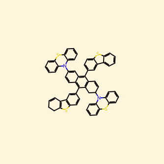 C1=Cc2c(sc3ccc(-c4c5c(c(-c6ccc7sc8ccccc8c7c6)c6cc(N7c8ccccc8Sc8ccccc87)ccc46)C=CC(N4c6ccccc6Sc6ccccc64)C5)cc23)CC1